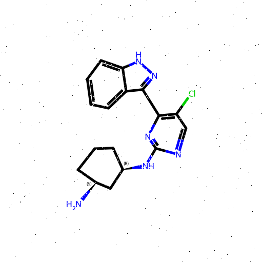 N[C@H]1CCC[C@@H](Nc2ncc(Cl)c(-c3n[nH]c4ccccc34)n2)C1